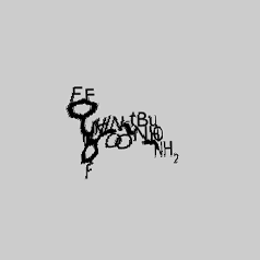 CC(C)(C)[C@H](NC(=O)c1nn(CC2CCC(F)(F)CC2)c2ccc(F)cc12)C(=O)NCC(N)=O